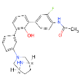 CC(=O)Nc1ccc(-c2cccc(-c3cccc(N4C[C@H]5CC[C@@H](C4)N5)c3)c2O)cc1F